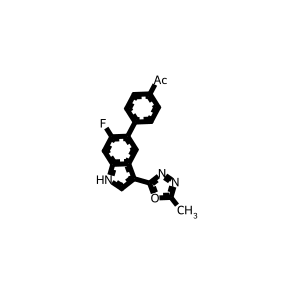 CC(=O)c1ccc(-c2cc3c(-c4nnc(C)o4)c[nH]c3cc2F)cc1